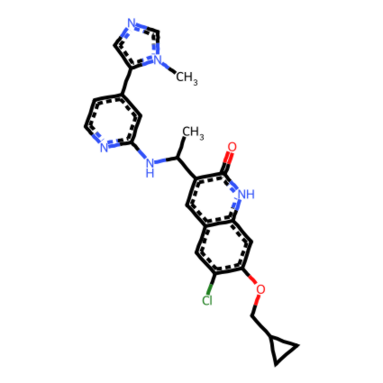 CC(Nc1cc(-c2cncn2C)ccn1)c1cc2cc(Cl)c(OCC3CC3)cc2[nH]c1=O